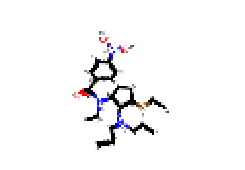 C=CCN(CC=C)C1C(SCC)CCC1N(CC)C(=O)c1ccc([N+](=O)[O-])cc1